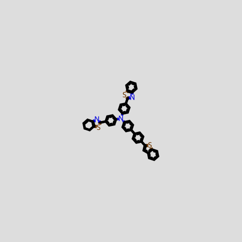 C1=Cc2nc(-c3ccc(N(c4ccc(-c5ccc(-c6cc7ccccc7s6)cc5)cc4)c4ccc(-c5nc6ccccc6s5)cc4)cc3)sc2CC1